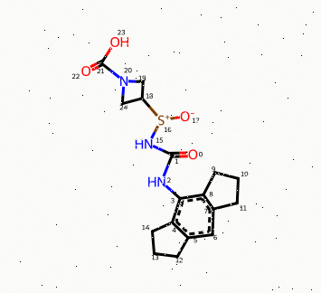 O=C(Nc1c2c(cc3c1CCC3)CCC2)N[S+]([O-])C1CN(C(=O)O)C1